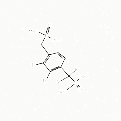 COP(=O)(Cc1ccc(C(Br)(Br)P(=O)(OC)OC)c(Br)c1Br)OC